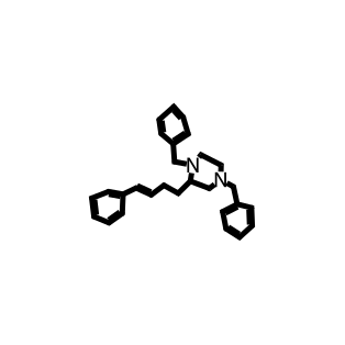 C(=C\c1ccccc1)/CCC1CN(Cc2ccccc2)CCN1Cc1ccccc1